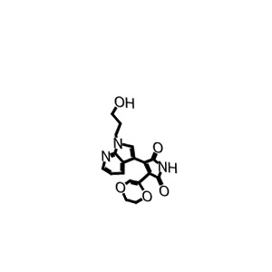 O=C1NC(=O)C(c2cn(CCCO)c3ncccc23)=C1C1=COCCO1